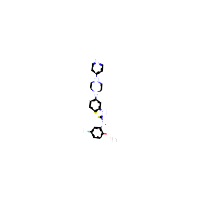 CC(C)Oc1ccc(F)cc1Nc1nc2cc(N3CCN(c4ccncc4)CC3)ccc2s1